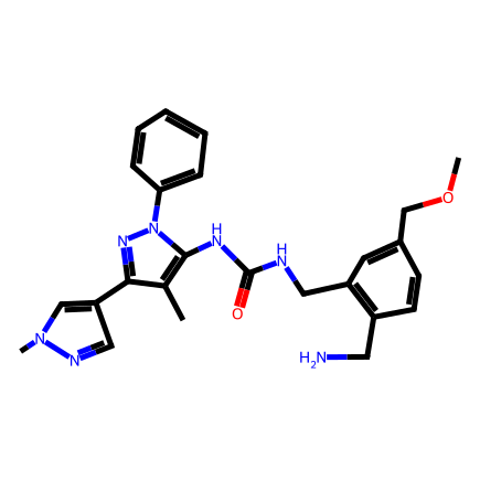 COCc1ccc(CN)c(CNC(=O)Nc2c(C)c(-c3cnn(C)c3)nn2-c2ccccc2)c1